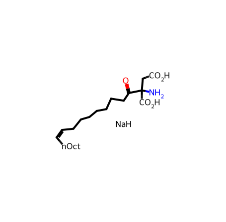 CCCCCCCC/C=C\CCCCCCCC(=O)C(N)(CC(=O)O)C(=O)O.[NaH]